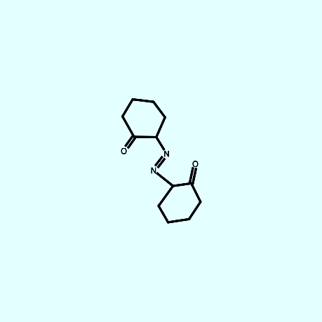 O=C1CCCCC1N=NC1CCCCC1=O